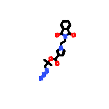 CC(C)(CN=[N+]=[N-])OC(=O)c1ccn(CCN2C(=O)c3ccccc3C2=O)c1